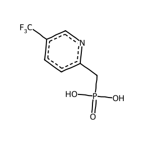 O=P(O)(O)Cc1ccc(C(F)(F)F)cn1